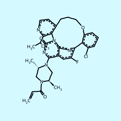 C=CC(=O)N1C[C@H](C)N(c2nc(=O)n3c4nc(c(F)cc24)-c2c(Cl)cccc2OCCCc2ccnc(C(C)C)c2-3)C[C@H]1C